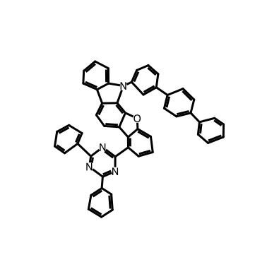 c1ccc(-c2ccc(-c3cccc(-n4c5ccccc5c5ccc6c(oc7cccc(-c8nc(-c9ccccc9)nc(-c9ccccc9)n8)c76)c54)c3)cc2)cc1